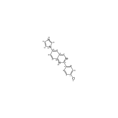 Clc1ccc(-c2ncc3cc(-n4ccnc4)ccc3n2)cc1